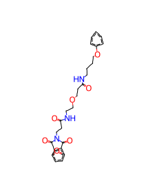 O=C(CCOCCNC(=O)CCN1C(=O)c2c(c3ccc2o3)C1=O)NCCCCOc1ccccc1